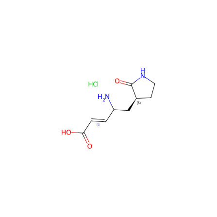 Cl.NC(/C=C/C(=O)O)C[C@@H]1CCNC1=O